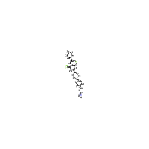 C/C=C/CCc1ccc(C2CCC(c3cc(F)c(C[C@H](C)c4ccccc4)c(F)c3)CC2)cc1